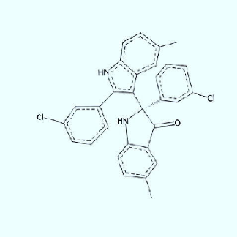 Cc1ccc2c(c1)C(=O)[C@](c1cccc(Cl)c1)(c1c(-c3cccc(Cl)c3)[nH]c3ccc(C)cc13)N2